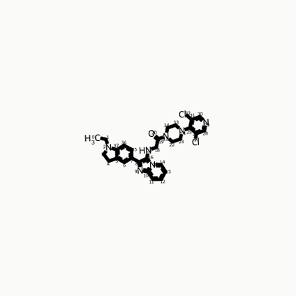 CCN1CCc2cc(-c3nc4ccccn4c3NCC(=O)N3CCN(c4c(Cl)cncc4Cl)CC3)ccc21